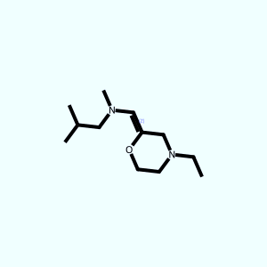 CCN1CCO/C(=C\N(C)CC(C)C)C1